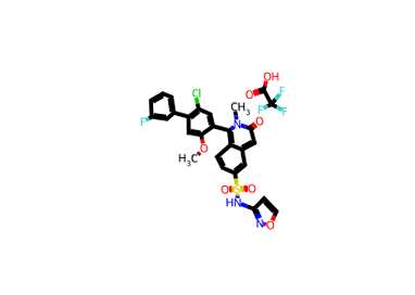 COc1cc(-c2cccc(F)c2)c(Cl)cc1-c1c2ccc(S(=O)(=O)Nc3ccon3)cc2cc(=O)n1C.O=C(O)C(F)(F)F